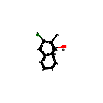 Cc1c(Cl)cc2ccccc2c1O